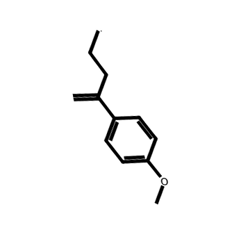 [CH2]CCC(=C)c1ccc(OC)cc1